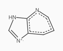 C1=[N+]c2cccnc2N1